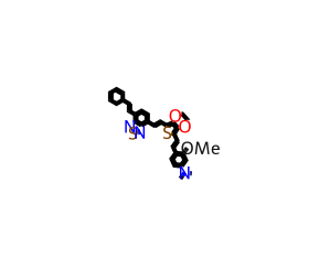 COc1cc(N(C)C)ccc1/C=C/c1sc(/C=C/c2ccc(/C=C/C3C=CC=CC3)c3nsnc23)c2c1OCCO2